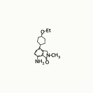 CCO[C@H]1CC[C@@H](c2ccc(N)c3c2CN(C)C3=O)CC1